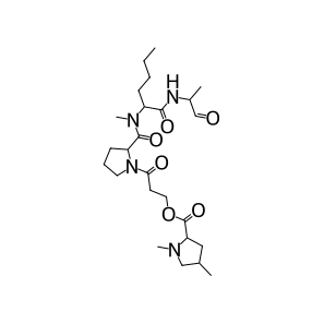 CCCCC(C(=O)NC(C)C=O)N(C)C(=O)C1CCCN1C(=O)CCOC(=O)C1CC(C)CN1C